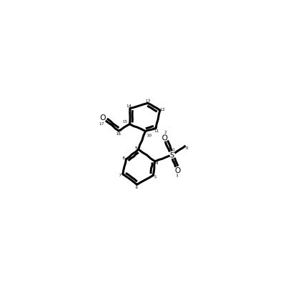 CS(=O)(=O)c1ccccc1-c1ccccc1[C]=O